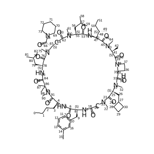 CCCC[C@@H]1NC(=O)[C@H](Cc2cccc(I)c2)NC(=O)CN(C)C(=O)[C@H](CC2CCC2)N(C)C(=O)[C@@H]2CCN2C(=O)[C@H](C)N(C)C(=O)[C@H]([C@@H](C)CC)NC(=O)[C@H](CC(C)C)N(C)C(=O)C[C@@H](C(=O)N2CCCCC2)N(C)C(=O)[C@H](CC(C)C)NC(=O)C(C)(C)N(C)C1=O